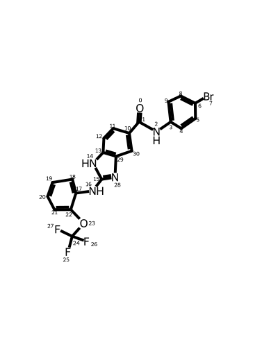 O=C(Nc1ccc(Br)cc1)c1ccc2[nH]c(Nc3ccccc3OC(F)(F)F)nc2c1